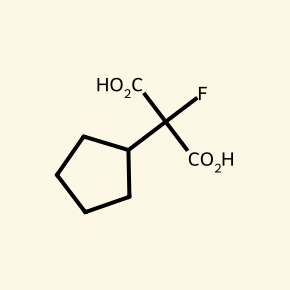 O=C(O)C(F)(C(=O)O)C1CCCC1